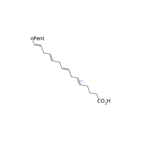 CCCCCC=CCC=CCC=CC/C=C/CCCC(=O)O